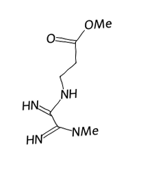 CNC(=N)C(=N)NCCC(=O)OC